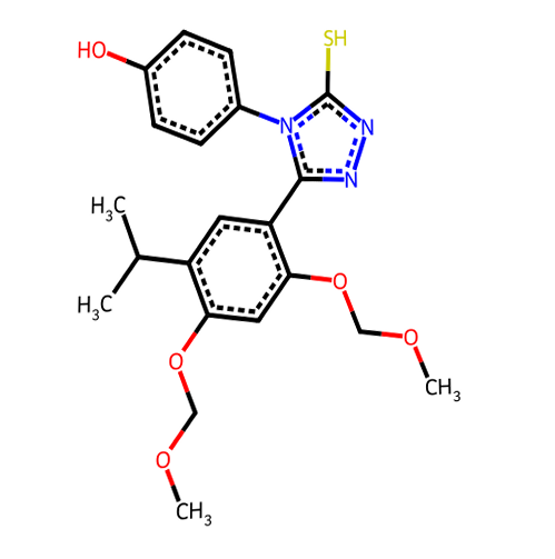 COCOc1cc(OCOC)c(C(C)C)cc1-c1nnc(S)n1-c1ccc(O)cc1